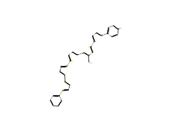 Cc1cc(-c2ccc(-c3ccccc3)s2)sc1-c1ccc(-c2sc(-c3ccc(-c4ccc(C(=O)O)cc4)s3)cc2CC(=O)O)s1